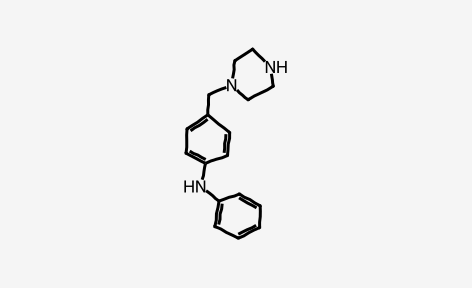 c1ccc(Nc2ccc(CN3CCNCC3)cc2)cc1